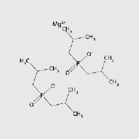 CC(C)CP(=O)([O-])CC(C)C.CC(C)CP(=O)([O-])CC(C)C.[Mg+2]